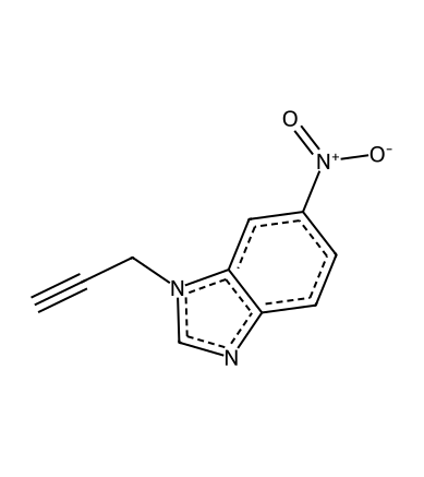 C#CCn1cnc2ccc([N+](=O)[O-])cc21